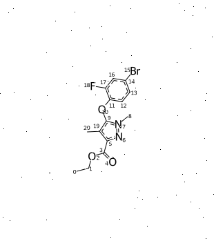 CCOC(=O)c1nn(C)c(Oc2ccc(Br)cc2F)c1C